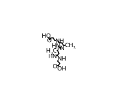 CC(CC(=N)NCCC(=O)O)N=NC(C)CC(=N)NCCC(=O)O